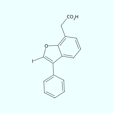 O=C(O)Cc1cccc2c(-c3ccccc3)c(I)oc12